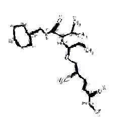 CC\C(=N/C=C(C)/C=C/C(=O)NO)N[C@@H](C(=O)NCC1CCCCC1)C(C)C